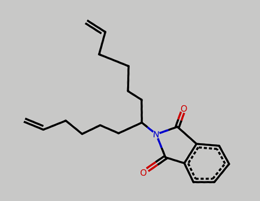 C=CCCCCC(CCCCC=C)N1C(=O)c2ccccc2C1=O